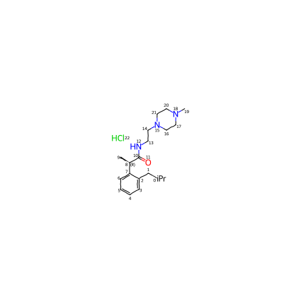 CC(C)Cc1ccccc1[C@@H](C)C(=O)NCCN1CCN(C)CC1.Cl